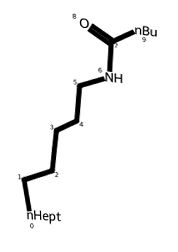 CCCCCCCCCCCCNC(=O)CCCC